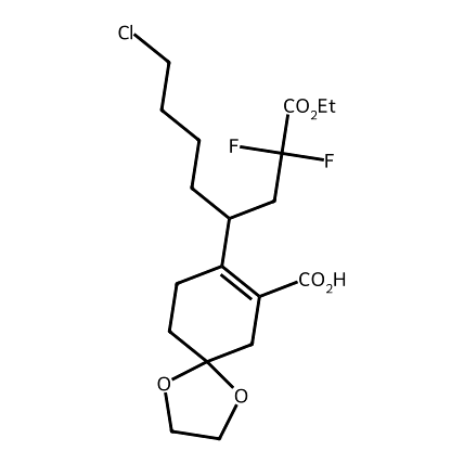 CCOC(=O)C(F)(F)CC(CCCCCl)C1=C(C(=O)O)CC2(CC1)OCCO2